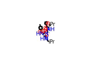 Cc1ccc(S(=O)(=O)N[C@@H](CC(=O)NCCC(C)C)C(=O)N[C@@H](C)C(=O)N[C@@H](CC(C)C)C(=O)c2ccco2)cc1